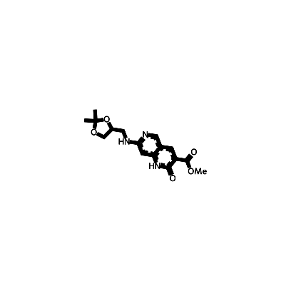 COC(=O)c1cc2cnc(NCC3COC(C)(C)O3)cc2[nH]c1=O